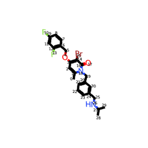 Cc1cc(OCc2ccc(F)cc2F)c(Br)c(=O)n1Cc1cccc(CNC(C)C)c1